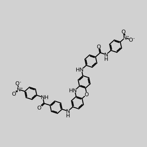 O=C(Nc1ccc([N+](=O)[O-])cc1)c1ccc(Nc2ccc3c(c2)Nc2cc(Nc4ccc(C(=O)Nc5ccc([N+](=O)[O-])cc5)cc4)ccc2O3)cc1